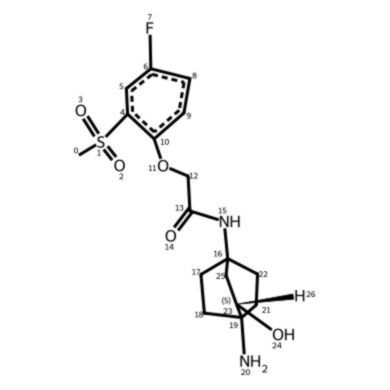 CS(=O)(=O)c1cc(F)ccc1OCC(=O)NC12CCC(N)(CC1)[C@@H](O)C2